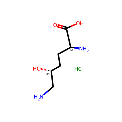 Cl.NC[C@H](O)CC[C@H](N)C(=O)O